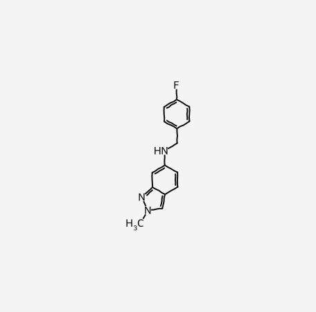 Cn1cc2ccc(NCc3ccc(F)cc3)cc2n1